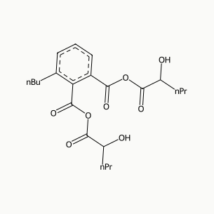 CCCCc1cccc(C(=O)OC(=O)C(O)CCC)c1C(=O)OC(=O)C(O)CCC